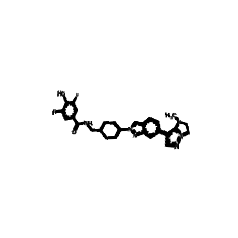 CN1CCn2ncc(-c3ccc4cn(C5CCC(CNC(=O)c6cc(F)c(O)c(F)c6)CC5)nc4c3)c21